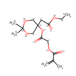 C=C(C)C(=O)OCC(=O)OC1(CC(=O)OCC)COC(C)(C)OC1